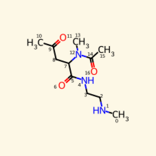 CNCCNC(=O)C(CC(C)=O)N(C)C(C)=O